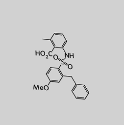 COc1ccc(S(=O)(=O)Nc2cccc(C)c2C(=O)O)c(Cc2ccccc2)c1